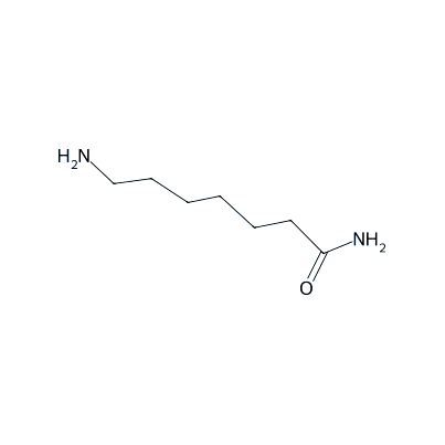 NCCCCCCC(N)=O